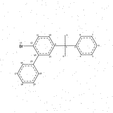 CC(C)(c1ccccc1)c1ccc(Br)c(-c2ccccc2)c1